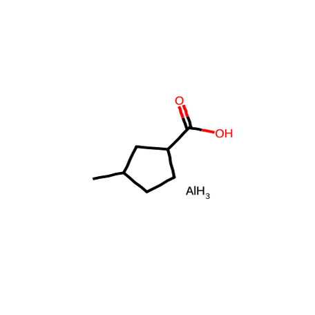 CC1CCC(C(=O)O)C1.[AlH3]